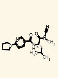 CC(C)C[C@H](NC(=O)c1ccc(N2CCCC2)nc1)C(=O)N(C)C#N